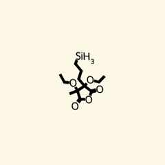 CCOC1(C)C(=O)OC(=O)C1(CCC[SiH3])OCC